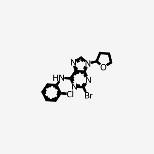 Clc1ccccc1Nc1nc(Br)nc2c1ncn2C1CCCO1